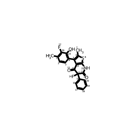 Cc1ccc(-c2c(C)sc3c2C(=O)C(F)(c2ccccc2)C(=O)N3)c(O)c1F